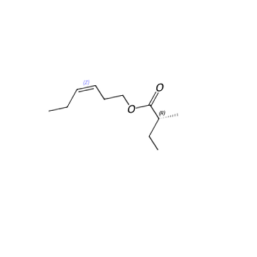 CC/C=C\CCOC(=O)[C@H](C)CC